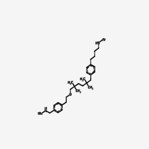 CC(C)NCCCCc1ccc(CC(C)(C)CCC(C)(C)COCCc2ccc(CNC(C)(C)C)cc2)cc1